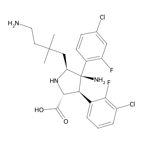 CC(C)(CCN)C[C@@H]1N[C@@H](C(=O)O)[C@H](c2cccc(Cl)c2F)[C@@]1(N)c1ccc(Cl)cc1F